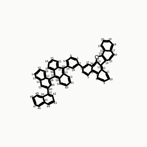 c1cc(-c2ccc3c4ccccc4c4c5ccc6ccccc6c5oc4c3c2)cc(-c2c3ccccc3c(-c3cc(-c4cccc5ccccc45)cc4ccccc34)c3ccccc23)c1